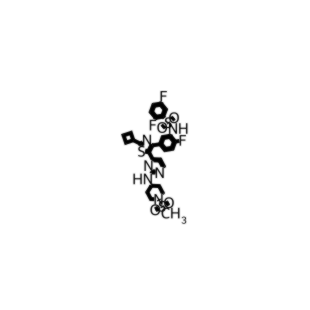 CS(=O)(=O)N1CCC(Nc2nccc(-c3sc(C4CCC4)nc3-c3ccc(F)c(NS(=O)(=O)c4cc(F)ccc4F)c3)n2)CC1